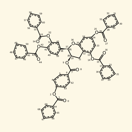 O=C(Oc1ccc(C(=O)O[C@@H]2Cc3c(OC(=O)c4ccccc4)cc(OC(=O)c4ccccc4)cc3O[C@@H]2c2ccc(OC(=O)c3ccccc3)c(OC(=O)c3ccccc3)c2)cc1)c1ccccc1